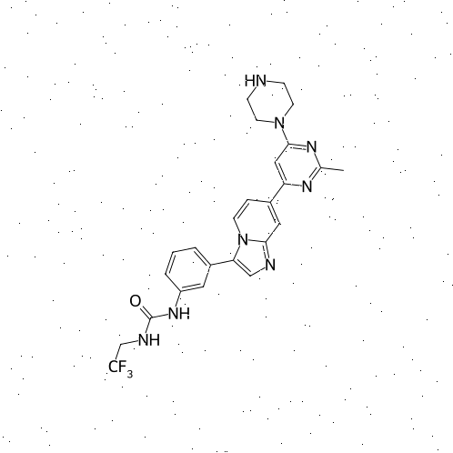 Cc1nc(-c2ccn3c(-c4cccc(NC(=O)NCC(F)(F)F)c4)cnc3c2)cc(N2CCNCC2)n1